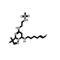 CC1(C)C=NN2C(NCCCC/C=C/F)CC(NCCNS(C)(=O)=O)=NC21